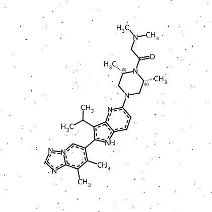 Cc1c(-c2[nH]c3ccc(N4C[C@@H](C)N(C(=O)CN(C)C)[C@@H](C)C4)nc3c2C(C)C)cn2ncnc2c1C